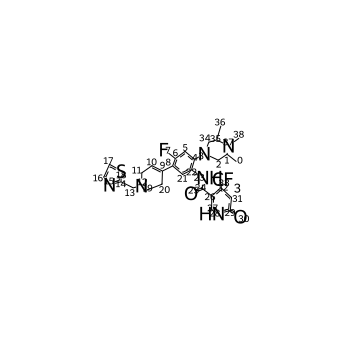 CC1CN(c2cc(F)c(C3=CCN(Cc4nccs4)CC3)cc2NC(=O)c2c[nH]c(=O)cc2C(F)(F)F)CC(C)N1C